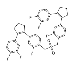 O=S(=O)(Cc1ccc(C2=C(c3ccc(F)c(F)c3)CCC2)cc1F)Cc1ccc(C2=C(c3ccc(F)c(F)c3)CCC2)cc1F